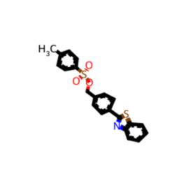 Cc1ccc(S(=O)(=O)OCc2ccc(-c3nc4ccccc4s3)cc2)cc1